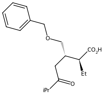 CC[C@H](C(=O)O)[C@@H](COCc1ccccc1)CC(=O)C(C)C